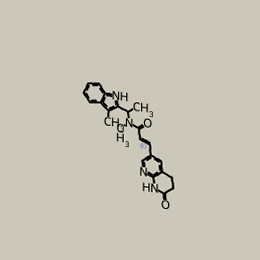 Cc1c(C(C)N(C)C(=O)/C=C/c2cnc3c(c2)CCC(=O)N3)[nH]c2ccccc12